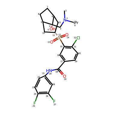 CC(C)N(C)C[C@]1(O)C2CCC1C[C@@H](S(=O)(=O)c1cc(C(=O)Nc3ccc(F)c(F)c3)ccc1Cl)C2